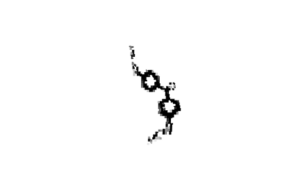 O=C(c1ccc(N=C=S)cc1)c1ccc(N=C=S)cc1